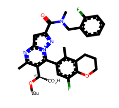 Cc1nc2cc(C(=O)N(C)Cc3ccccc3F)nn2c(-c2cc(F)c3c(c2C)CCCO3)c1[C@H](OC(C)(C)C)C(=O)O